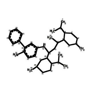 CC1CCC(C(C)C)C(C(C)CC(Nc2ccc(N)c(-c3ccccc3)c2)C2CC(C)CCC2C(C)C)C1